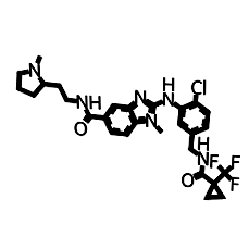 CN1CCCC1CCNC(=O)c1ccc2c(c1)nc(Nc1cc(CNC(=O)C3(C(F)(F)F)CC3)ccc1Cl)n2C